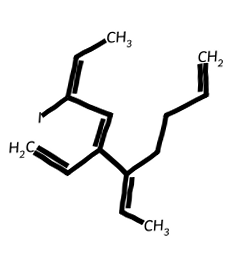 C=CCCC(=C\C)/C(C=C)=C/C(I)=C\C